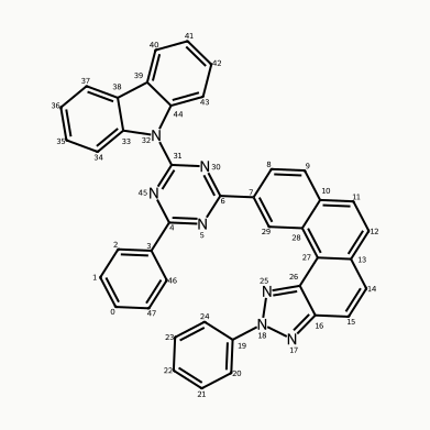 c1ccc(-c2nc(-c3ccc4ccc5ccc6nn(-c7ccccc7)nc6c5c4c3)nc(-n3c4ccccc4c4ccccc43)n2)cc1